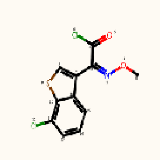 CON=C(C(=O)Cl)c1csc2c(Cl)cccc12